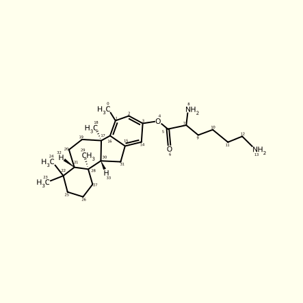 Cc1cc(OC(=O)C(N)CCCCN)cc2c1[C@]1(C)CC[C@H]3C(C)(C)CCC[C@]3(C)[C@H]1C2